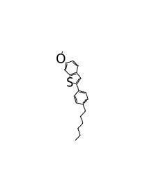 CCCCCCc1ccc(-c2cc3ccc(OC)cc3s2)cc1